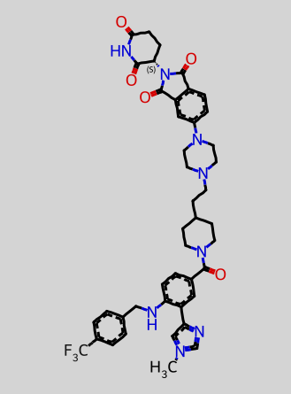 Cn1cnc(-c2cc(C(=O)N3CCC(CCN4CCN(c5ccc6c(c5)C(=O)N([C@H]5CCC(=O)NC5=O)C6=O)CC4)CC3)ccc2NCc2ccc(C(F)(F)F)cc2)c1